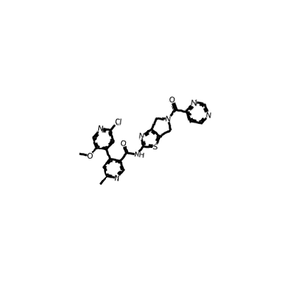 COc1cnc(Cl)cc1-c1cc(C)ncc1C(=O)Nc1nc2c(s1)CN(C(=O)c1ccncn1)C2